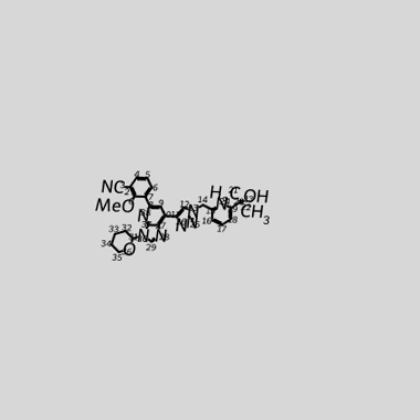 COc1c(C#N)cccc1-c1cc(-c2cn(Cc3cccc(C(C)(C)O)n3)nn2)c2ncn(C3CCCCO3)c2n1